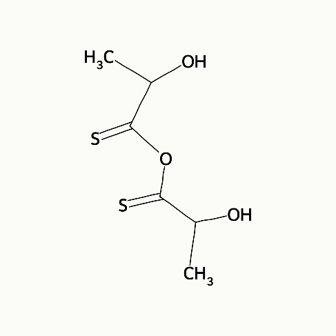 CC(O)C(=S)OC(=S)C(C)O